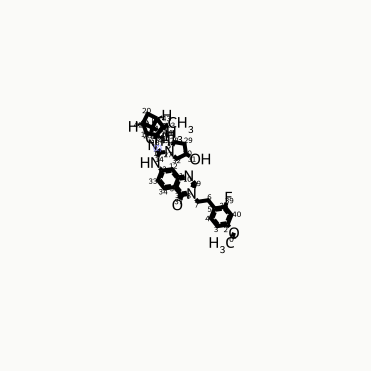 COc1ccc(CCn2cnc3cc(N/C(=N/[C@H]4C[C@@H]5C[C@H]([C@@H]4C)C5(C)C)N4CCC(O)C4)ccc3c2=O)c(F)c1